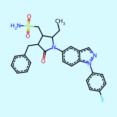 CCC1C(CS(N)(=O)=O)C(Cc2ccccc2)C(=O)N1c1ccc2c(cnn2-c2ccc(F)cc2)c1